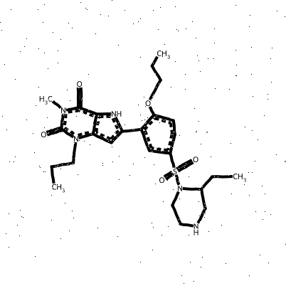 CCCOc1ccc(S(=O)(=O)N2CCNCC2CC)cc1-c1cc2c([nH]1)c(=O)n(C)c(=O)n2CCC